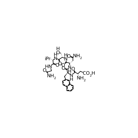 CC(C)[C@H](NC(=O)[C@H](CO)NC(=O)[C@H](CC(N)=O)NC(=O)[C@H](Cc1ccc2ccccc2c1)NC(=O)[C@@H](N)CC(=O)O)C(=O)NCC(N)=O